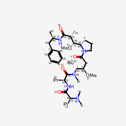 CC[C@H](C)[C@@H]([C@@H](CC(=O)N1CCC[C@H]1[C@H](OC)[C@@H](C)C(=O)N[C@H](C)Cc1ccccc1)OC)N(C)C(=O)[C@@H](NC(=O)[C@H](C(C)C)N(C)C)C(C)C